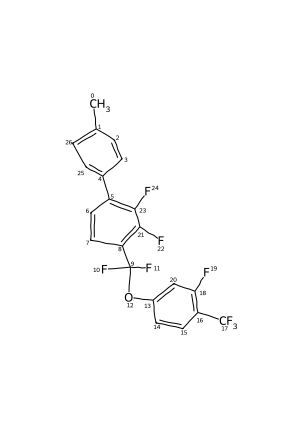 Cc1ccc(-c2ccc(C(F)(F)Oc3ccc(C(F)(F)F)c(F)c3)c(F)c2F)cc1